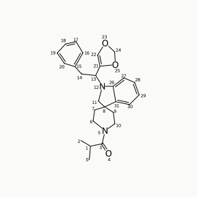 CC(C)C(=O)N1CCC2(CC1)CN(C(Cc1ccccc1)C1=COCO1)c1ccccc12